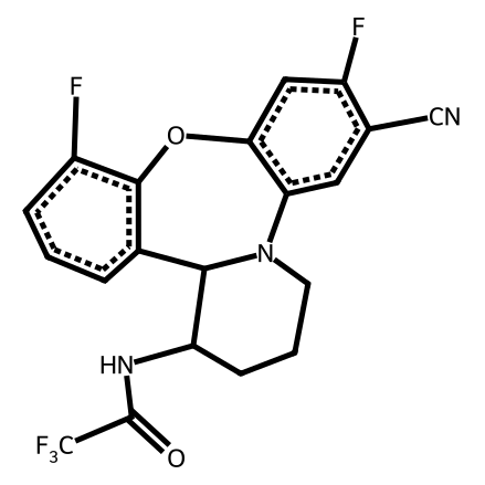 N#Cc1cc2c(cc1F)Oc1c(F)cccc1C1C(NC(=O)C(F)(F)F)CCCN21